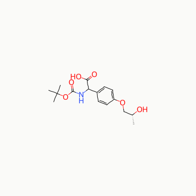 C[C@@H](O)COc1ccc(C(NC(=O)OC(C)(C)C)C(=O)O)cc1